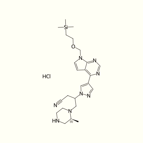 C[C@H]1CNCCN1CC(CC#N)n1cc(-c2ncnc3c2ccn3COCC[Si](C)(C)C)cn1.Cl